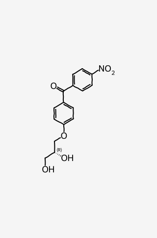 O=C(c1ccc(OC[C@H](O)CO)cc1)c1ccc([N+](=O)[O-])cc1